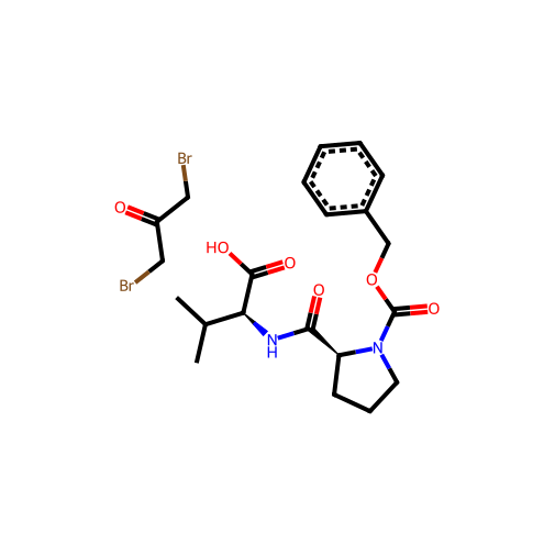 CC(C)[C@H](NC(=O)[C@@H]1CCCN1C(=O)OCc1ccccc1)C(=O)O.O=C(CBr)CBr